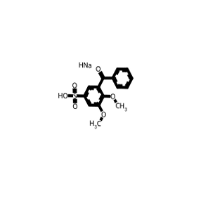 COc1cc(S(=O)(=O)O)cc(C(=O)c2ccccc2)c1OC.[NaH]